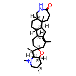 CC1=C2C[C@H]3[C@@H](CC[C@@H]4CNC(=O)CC[C@@]43C)[C@@H]2CC[C@@]2(C1)O[C@@H]1C[C@H](C)CN(C)[C@H]1[C@H]2C